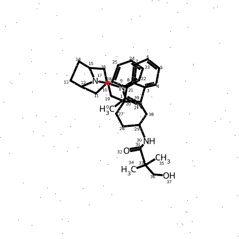 Cc1nc2ccccc2n1C1CC2CCC(C1)N2CCC1(c2ccccc2)CCC(NC(=O)C(C)(C)CO)CC1